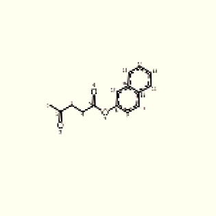 CC(=O)CCC(=O)Oc1ccc2ccccc2c1